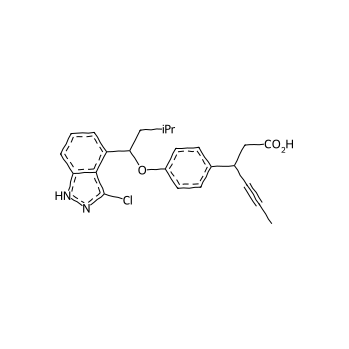 CC#CC(CC(=O)O)c1ccc(OC(CC(C)C)c2cccc3[nH]nc(Cl)c23)cc1